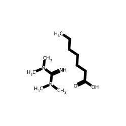 CCCCCCC(=O)O.CN(C)C(=N)N(C)C